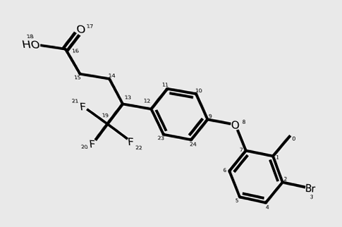 Cc1c(Br)cccc1Oc1ccc(C(CCC(=O)O)C(F)(F)F)cc1